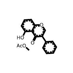 COC(C)=O.O=c1c(-c2ccccc2)coc2cccc(O)c12